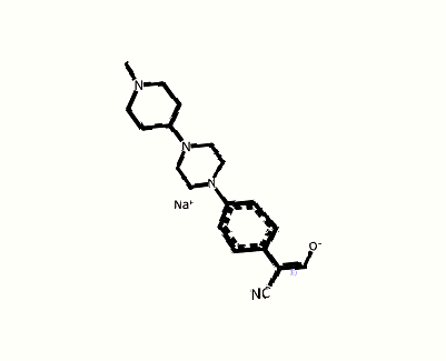 CN1CCC(N2CCN(c3ccc(/C(C#N)=C\[O-])cc3)CC2)CC1.[Na+]